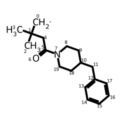 [CH2]C(C)(C)CC(=O)N1CCC(Cc2ccccc2)CC1